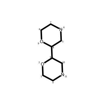 C1COC(C2C[N]CCO2)C[N]1